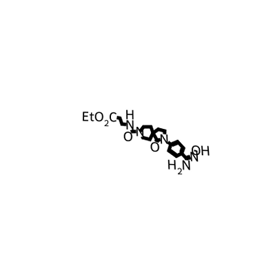 CCOC(=O)CCNC(=O)N1CCC2(CC1)CCN(c1ccc(/C(N)=N\O)cc1)C2=O